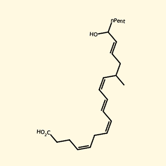 CCCCCC(O)/C=C/CC(C)\C=C/C=C/C=C\C/C=C\CCC(=O)O